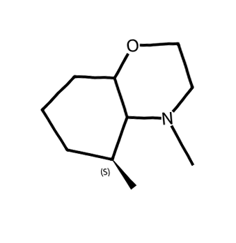 C[C@H]1CCCC2OCCN(C)C21